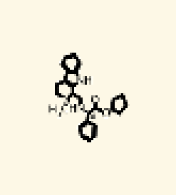 CN1CCc2c([nH]c3ccccc23)C1CN[C@H](C(=O)OC1CCCC1)c1ccccc1